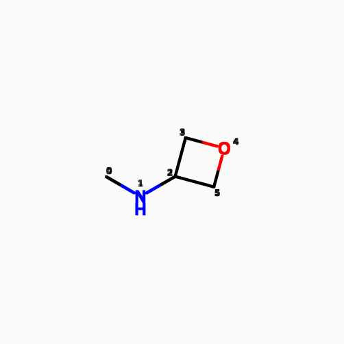 CNC1COC1